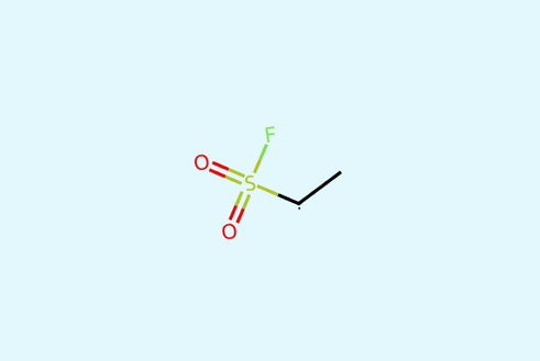 C[CH]S(=O)(=O)F